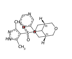 Cc1n[nH]c(C)c1S(=O)(=O)N1C[C@H]2COC[C@@H](C1)C2Oc1cnccn1